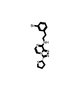 Brc1cccc(CCNc2nccn3c([C@@H]4CCCS4)nnc23)c1